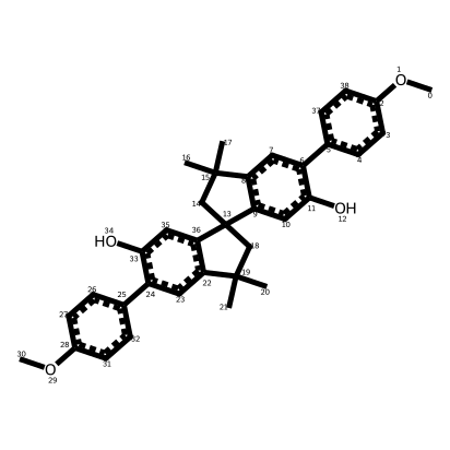 COc1ccc(-c2cc3c(cc2O)C2(CC3(C)C)CC(C)(C)c3cc(-c4ccc(OC)cc4)c(O)cc32)cc1